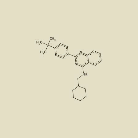 CC(C)(C)c1ccc(-c2nc(NCC3CCCCC3)c3ccccc3n2)cc1